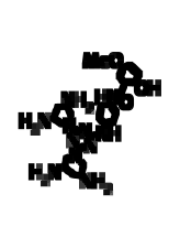 COc1ccc(O)c(C(=O)Nc2ccc(Nc3nc(N4C[C@H](N)C[C@H](N)C4)nc(N4C[C@H](N)C[C@H](N)C4)n3)cc2)c1